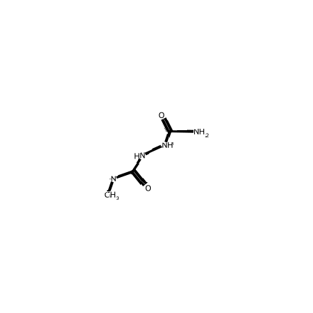 C[N]C(=O)NNC(N)=O